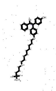 CC/C(=C(\c1ccc(O)cc1)c1ccc(OCCCCCCCCCSCCCC(C)(F)F)cc1)c1ccccc1